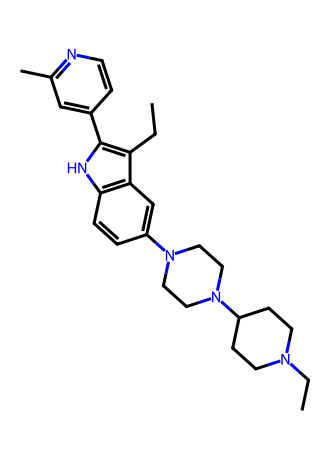 CCc1c(-c2ccnc(C)c2)[nH]c2ccc(N3CCN(C4CCN(CC)CC4)CC3)cc12